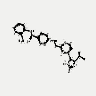 Cc1nc(C(C)C)c(-c2ccnc(CNc3ccc(C(=O)Nc4ccccc4N)cc3)n2)[nH]1